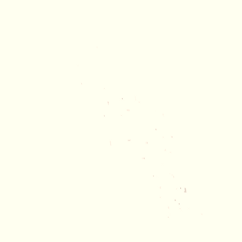 Cc1ccc(S(=O)(=O)Oc2c(C)c(C)c3c(c2C)CCC(C)(CC(=O)N[N+](C)(C)C)O3)cc1